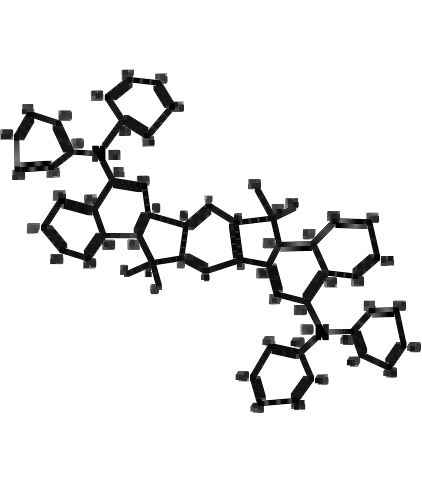 CC1(C)c2cc3c(cc2-c2cc(N(c4ccccc4)c4ccccc4)c4ccccc4c21)C(C)(C)c1c-3cc(N(c2ccccc2)c2ccccc2)c2ccccc12